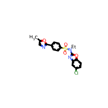 CCN(c1nc2cc(Cl)ccc2o1)S(=O)(=O)c1ccc(-c2ncc(C)o2)cc1